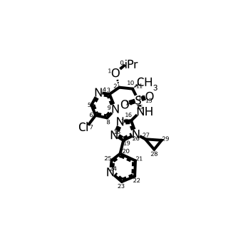 CC(C)O[C@@H](c1ncc(Cl)cn1)[C@H](C)S(=O)(=O)Nc1nnc(-c2cccnc2)n1C1CC1